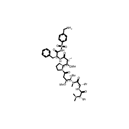 CC[C@H](C)[C@@H]([C@H](CC(=O)N1CCC[C@H]1[C@H](OC)[C@@H](C)C(=O)N[C@@H](Cc1ccccc1)C(=O)NS(=O)(=O)c1ccc(CN)cc1)OC)N(C)C(=O)[C@@H](NC(=O)[C@H](C(C)C)N(C)C)C(C)C